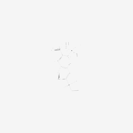 CCC(C)(C)c1ccc2c(c1)OC(C(F)(F)F)C(C(=O)O)=C2